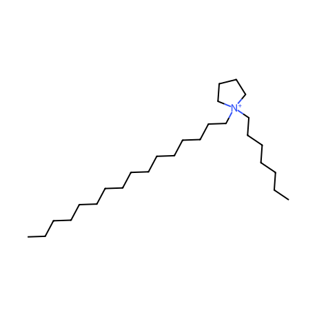 CCCCCCCCCCCCCCCC[N+]1(CCCCCCC)CCCC1